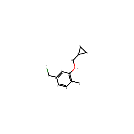 Cc1ccc(CCl)cc1OCC1CC1